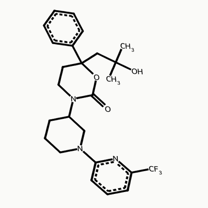 CC(C)(O)CC1(c2ccccc2)CCN(C2CCCN(c3cccc(C(F)(F)F)n3)C2)C(=O)O1